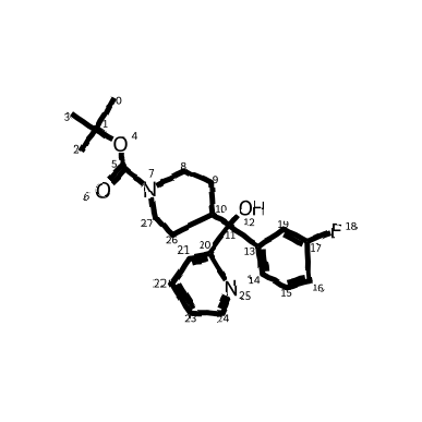 CC(C)(C)OC(=O)N1CCC(C(O)(c2cccc(F)c2)c2ccccn2)CC1